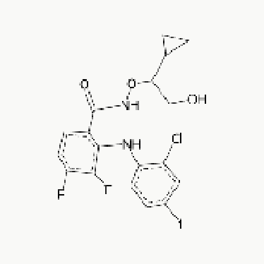 O=C(NOC(CO)C1CC1)c1ccc(F)c(F)c1Nc1ccc(I)cc1Cl